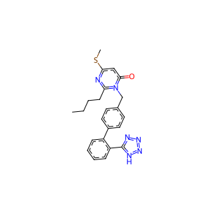 CCCCc1nc(SC)cc(=O)n1Cc1ccc(-c2ccccc2-c2nnn[nH]2)cc1